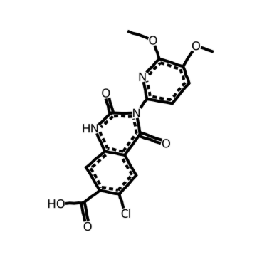 COc1ccc(-n2c(=O)[nH]c3cc(C(=O)O)c(Cl)cc3c2=O)nc1OC